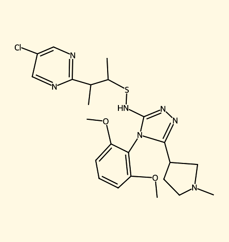 COc1cccc(OC)c1-n1c(NSC(C)C(C)c2ncc(Cl)cn2)nnc1C1CCN(C)C1